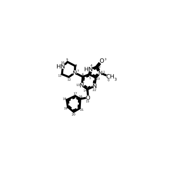 Cn1c(=O)[nH]c2c(N3CCNCC3)nc(Oc3ccccc3)nc21